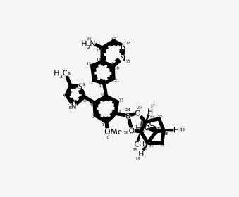 COc1cc(-c2ncc(C)s2)c(-c2ccc3c(N)cnnc3c2)cc1B1O[C@@H]2C[C@@H]3C[C@@H](C3(C)C)[C@]2(C)O1